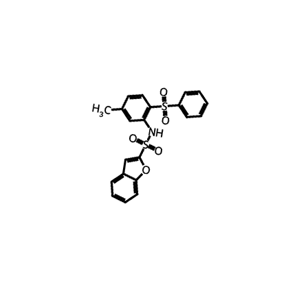 Cc1ccc(S(=O)(=O)c2ccccc2)c(NS(=O)(=O)c2cc3ccccc3o2)c1